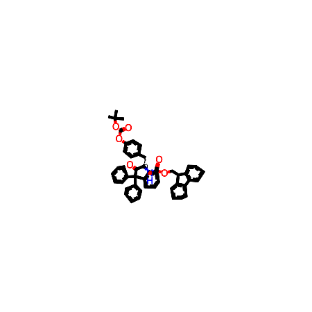 CC(C)(C)OC(=O)Oc1ccc(C[C@H](NC(=O)OCC2c3ccccc3-c3ccccc32)C(=O)C(c2ccccc2)(c2ccccc2)c2ccccc2)cc1